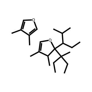 CCC(C(C)C)C1(C(C)(CC)CC)OC=C(C)C1C.Cc1cocc1C